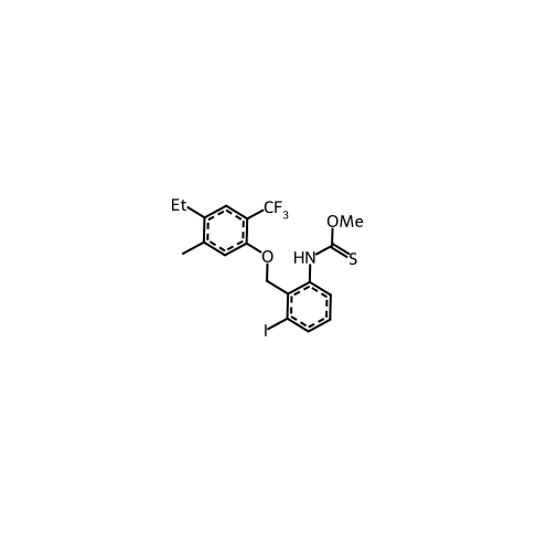 CCc1cc(C(F)(F)F)c(OCc2c(I)cccc2NC(=S)OC)cc1C